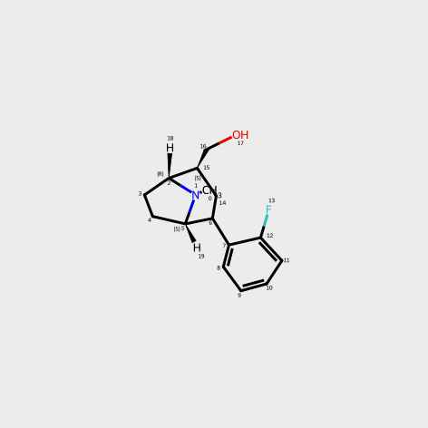 CN1[C@@H]2CC[C@H]1C(c1ccccc1F)C[C@@H]2CO